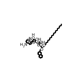 CCCCCCCCCCCCCCCCCCOC[C@H](COP(=O)(O)OC[C@H]1O[C@@](C#N)(c2ccc3c(N)ccnn23)[C@H](O)[C@@H]1O)OCc1ccc2ccccc2c1